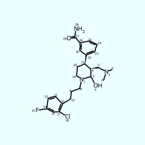 CN(C)C[C@H]1C(O)N(CCCc2ccc(F)cc2Cl)CC[C@H]1c1cccc(C(N)=O)c1